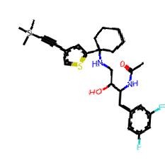 CC(=O)NC(Cc1cc(F)cc(F)c1)C(O)CNC1(c2cc(C#C[Si](C)(C)C)cs2)CCCCC1